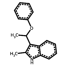 Cc1[nH]c2ccccc2c1C(C)Oc1ccccc1